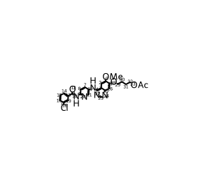 COc1cc2c(Nc3ccc(NC(=O)c4cccc(Cl)c4)nc3)ncnc2cc1OCCCCOC(C)=O